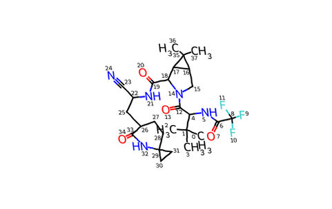 CC(C)(C)C(NC(=O)C(F)(F)F)C(=O)N1CC2C(C1C(=O)NC(C#N)CC1CCC3(CC3)NC1=O)C2(C)C